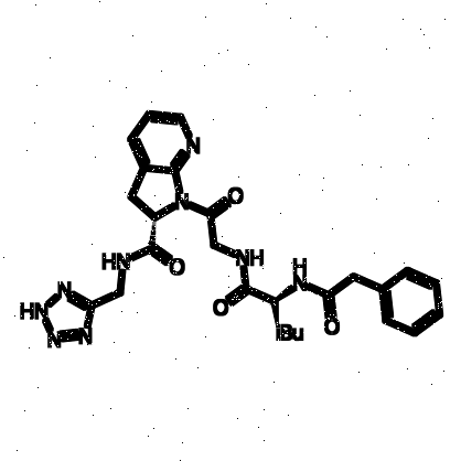 CC[C@H](C)[C@H](NC(=O)Cc1ccccc1)C(=O)NCC(=O)N1c2ncccc2C[C@H]1C(=O)NCc1nn[nH]n1